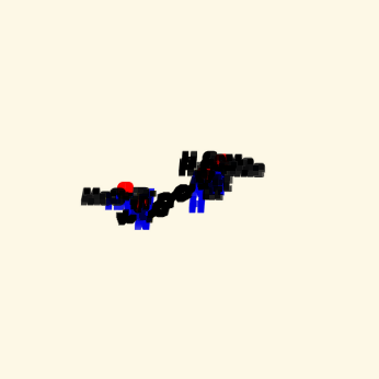 CC[C@@H](c1ncc(-c2ccc(-c3ccc4cc(-c5cnc([C@@H]6CC7(CC7)CN6C(=O)[C@@H](NC(=O)OC)C(C)C)[nH]5)ccc4c3)cc2)[nH]1)N(CC)C(=O)[C@@H](NC(=O)OC)C(C)(C)OC